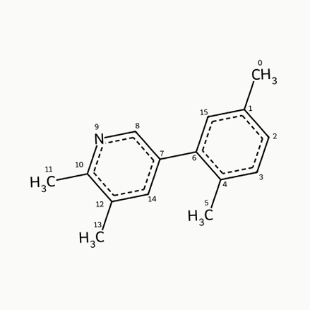 Cc1ccc(C)c(-c2cnc(C)c(C)c2)c1